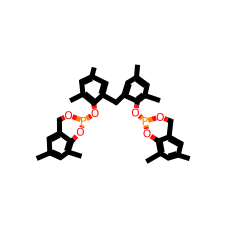 Cc1cc(C)c2c(c1)COP(Oc1c(C)cc(C)cc1Cc1cc(C)cc(C)c1OP1OCc3cc(C)cc(C)c3O1)O2